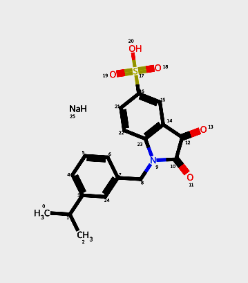 CC(C)c1cccc(CN2C(=O)C(=O)c3cc(S(=O)(=O)O)ccc32)c1.[NaH]